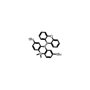 CC(C)(C)c1ccc2c(c1)N(B1c3ccccc3Oc3ccccc31)c1cc(C(C)(C)C)ccc1[Si]2(C)C